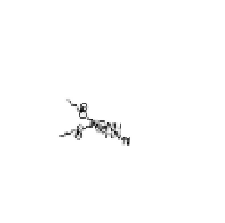 CCCCCC(=O)OCCCN(CCCOC(=O)CCCCC)C(=O)/C=C\C(=O)NCCNCCN(C)C